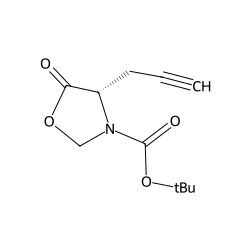 C#CC[C@H]1C(=O)OCN1C(=O)OC(C)(C)C